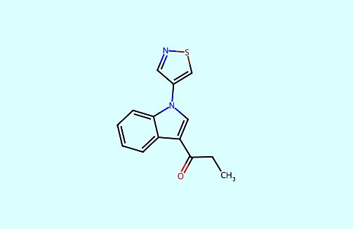 CCC(=O)c1cn(-c2cnsc2)c2ccccc12